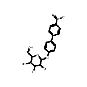 O=[N+]([O-])c1ccc(-c2ccc(OC3OC(CO)C(O)C(O)C3O)cc2)cc1